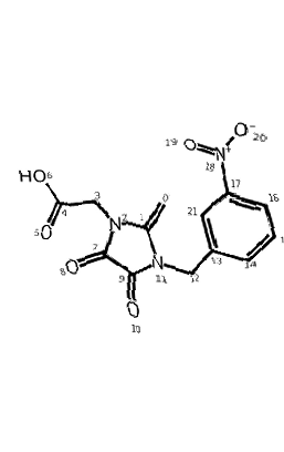 C=C1N(CC(=O)O)C(=O)C(=O)N1Cc1cccc([N+](=O)[O-])c1